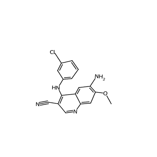 COc1cc2ncc(C#N)c(Nc3cccc(Cl)c3)c2cc1N